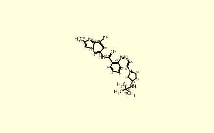 Cc1cn2cc(NC(=O)c3cccc4c(N5CCC(NC(C)(C)C)C5)cnnc34)cc(F)c2n1